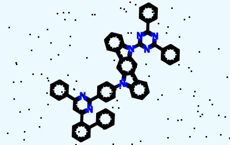 c1ccc(-c2cc(-c3ccccc3-c3ccccc3)nc(-c3ccc(-n4c5ccccc5c5cc6c(cc54)c4ccccc4n6-c4nc(-c5ccccc5)nc(-c5ccccc5)n4)cc3)n2)cc1